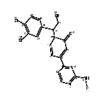 O=c1cc(-c2ccnc(NF)n2)ccn1C(CO)c1ccc(Cl)c(Cl)c1